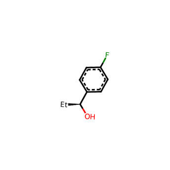 CC[C@H](O)c1ccc(F)cc1